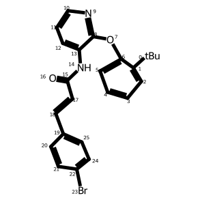 CC(C)(C)c1ccccc1Oc1ncccc1NC(=O)C=Cc1ccc(Br)cc1